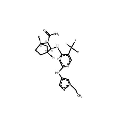 CCn1cc(Nc2ncc(C(F)(F)F)c(N[C@H]3[C@@H]4CC[C@@H](C4)[C@H]3C(N)=O)n2)cn1